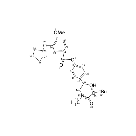 COc1ccc(C(=O)Oc2ccc(C(O)CN(C)C(=O)OC(C)(C)C)cc2)cc1OC1CCCC1